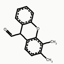 Cc1ccc2c(c1C)Oc1ccccc1C2C=O